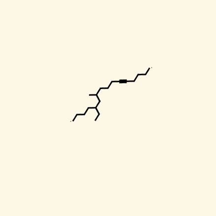 [CH2]CCCC#CCCCC(C)CC(CC)CCC[CH2]